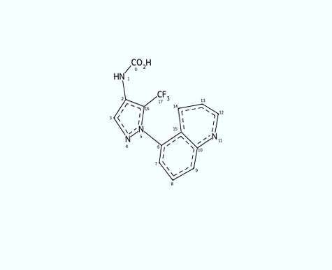 O=C(O)Nc1cnn(-c2cccc3ncccc23)c1C(F)(F)F